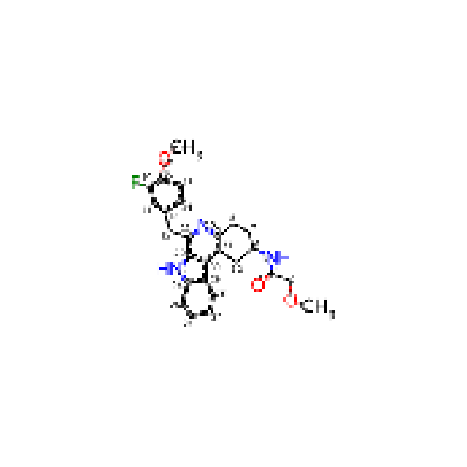 COCC(=O)NC1CCc2nc(Cc3ccc(OC)c(F)c3)c3[nH]c4ccccc4c3c2C1